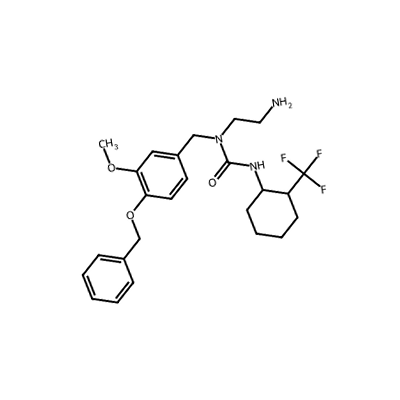 COc1cc(CN(CCN)C(=O)NC2CCCCC2C(F)(F)F)ccc1OCc1ccccc1